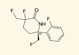 O=C1N[C@](CF)(c2ccccc2F)CCC1(F)CF